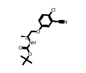 C[C@@H](COc1ccc(Cl)c(C#N)c1)NC(=O)OC(C)(C)C